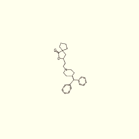 O=C1OC(CCN2CCC(C(c3ccccc3)c3ccccc3)CC2)CC12CCCC2